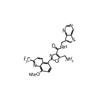 COc1ccc(-c2nc(C(=O)NCc3csc4cncnc34)c(CN)o2)c2ccc(C(F)(F)F)nc12